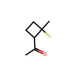 CC(=O)C1CCC1(C)F